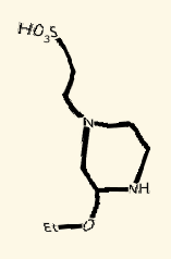 CCOC1CN(CCS(=O)(=O)O)CCN1